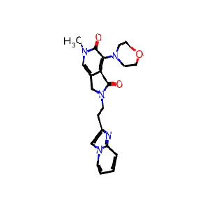 Cn1cc2c(c(N3CCOCC3)c1=O)C(=O)N(CCc1cn3ccccc3n1)C2